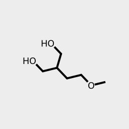 COCCC(CO)CO